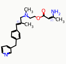 C/C(N)=C/C(=O)OCCN(C)C/C(C)=C/c1ccc(Cc2cccnc2)cc1